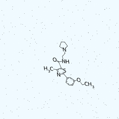 CCOc1cccc(-c2nc(C)c(C(=O)NCCN3CCCC3)s2)c1